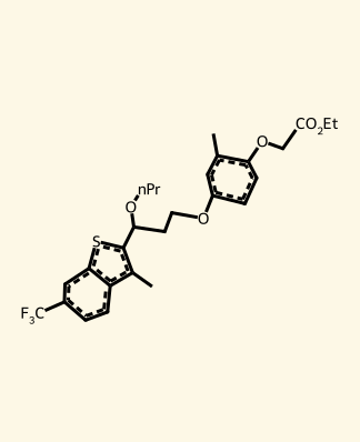 CCCOC(CCOc1ccc(OCC(=O)OCC)c(C)c1)c1sc2cc(C(F)(F)F)ccc2c1C